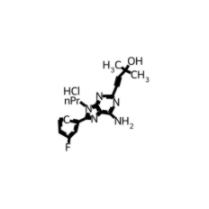 CCCn1c(-c2cccc(F)c2)nc2c(N)nc(C#CC(C)(C)O)nc21.Cl